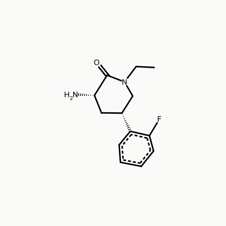 CCN1C[C@H](c2ccccc2F)C[C@H](N)C1=O